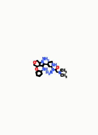 CN(C)CC(=O)N(N)C1C=C(c2c(Nc3ccccc3)c3c(n2N)COCC3=O)C=CN1